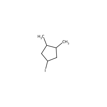 CC1CC(I)CC1C